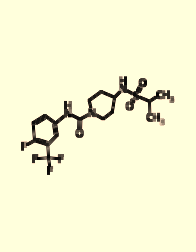 CC(C)S(=O)(=O)NC1CCN(C(=O)Nc2ccc(F)c(C(F)(F)F)c2)CC1